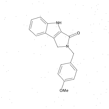 COc1ccc(CN2Cc3c([nH]c4ccccc34)C2=O)cc1